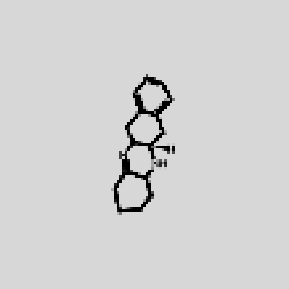 c1ccc2c(c1)CC1N=C3CCCCC3N[C@H]1C2